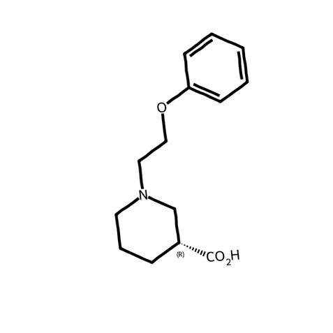 O=C(O)[C@@H]1CCCN(CCOc2ccccc2)C1